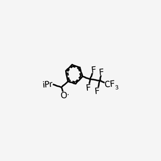 CC(C)C([O])c1cccc(C(F)(F)C(F)(F)C(F)(F)F)c1